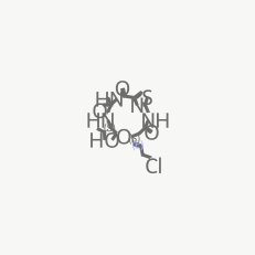 CC(C)[C@@H]1NC(=O)C(C)(C)NC(=O)c2csc(n2)CNC(=O)C[C@@H](/C=C/CCCl)OC1O